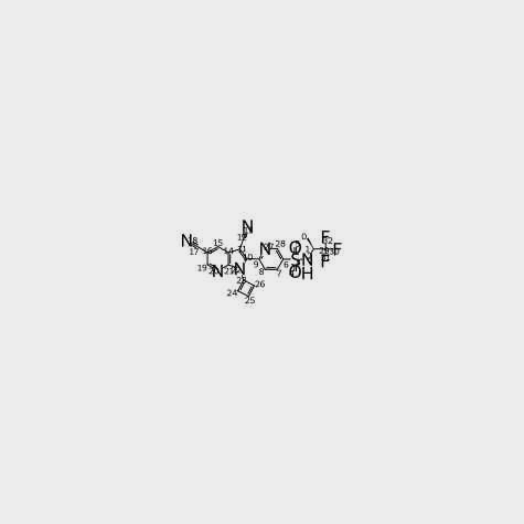 C[C@H](NS(=O)(=O)c1ccc(-c2c(C#N)c3cc(C#N)cnc3n2C2=CC=C2)nc1)C(F)(F)F